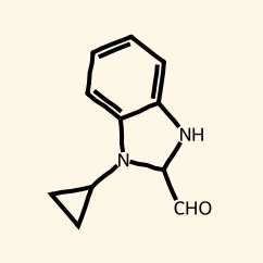 O=CC1Nc2ccccc2N1C1CC1